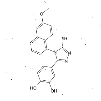 COc1ccc2c(-n3c(S)nnc3-c3ccc(O)c(O)c3)cccc2c1